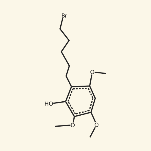 COc1cc(OC)c(OC)c(O)c1CCCCCBr